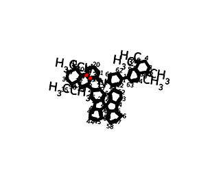 CC1(C)CCC(C)(C)c2cc(-c3ccc(N(c4ccccc4)c4cc5c(cc4-c4ccc6c(c4)C(C)(C)CCC6(C)C)-c4ccccc4C54c5ccccc5-c5ccccc54)cc3)ccc21